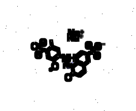 COc1cc(S(=O)(=O)[O-])c(C)cc1N/N=C1/C(=O)C=Cc2cc(S(=O)(=O)[O-])ccc21.[Na+].[Na+]